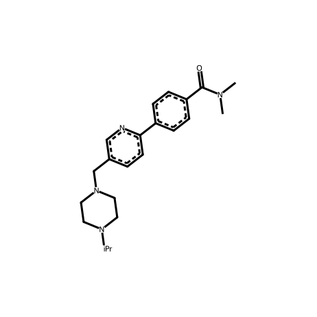 CC(C)N1CCN(Cc2ccc(-c3ccc(C(=O)N(C)C)cc3)nc2)CC1